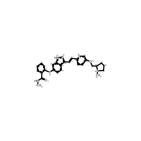 CNC(=O)c1ccccc1Sc1ccc2c(/C=C/c3ccc(OCC4CCCN4C)cn3)n[nH]c2c1